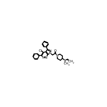 C=CN(C)C1CCN(C(=O)Cn2nc(-c3ccccc3)c3c(Cl)c(-c4ccccc4)nnc32)CC1